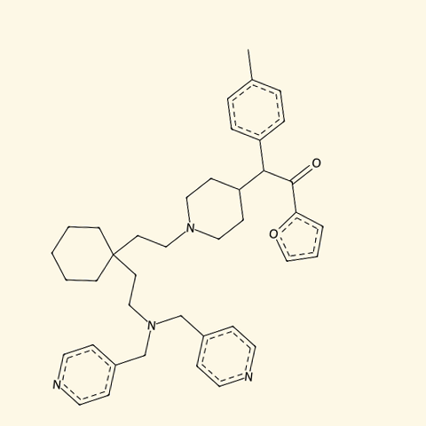 Cc1ccc(C(C(=O)c2ccco2)C2CCN(CCC3(CCN(Cc4ccncc4)Cc4ccncc4)CCCCC3)CC2)cc1